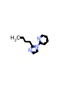 C=CCCc1nccn1-c1ccccn1